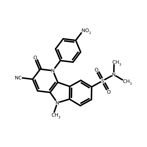 CN(C)S(=O)(=O)c1ccc2c(c1)c1c(cc(C#N)c(=O)n1-c1ccc([N+](=O)[O-])cc1)n2C